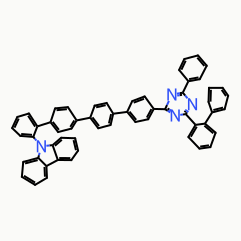 c1ccc(-c2nc(-c3ccc(-c4ccc(-c5ccc(-c6ccccc6-n6c7ccccc7c7ccccc76)cc5)cc4)cc3)nc(-c3ccccc3-c3ccccc3)n2)cc1